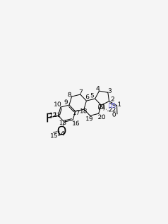 C/C=C1/CCC2C3CCc4cc(F)c(OC)cc4C3CC[C@]12C